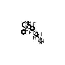 O=S1(=O)C(Cc2cc(F)c(N3C[C@@H]4C(n5cnnc5)[C@@H]4C3)cc2F)NCCC[C@H]1c1ccccc1